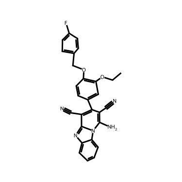 CCOc1cc(-c2c(C#N)c(N)n3c(nc4ccccc43)c2C#N)ccc1OCc1ccc(F)cc1